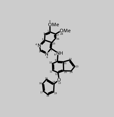 COc1cc2ncnc(Nc3ccc(Oc4ccccc4)c4c3C=CC4)c2cc1OC